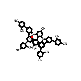 N#Cc1ccc(-c2ccc3c(c2)c2cc(-c4ccc(C#N)cc4C#N)ccc2n3-c2cc(C#N)cc(-n3c4ccc(-c5ccc(C#N)cc5C#N)cc4c4cc(-c5ccc(C#N)cc5C#N)ccc43)c2-c2ccc(C(F)(F)F)cc2C(F)(F)F)c(C#N)c1